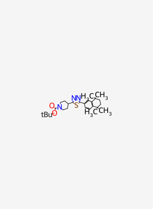 CC(C)(C)OC(=O)N1CCC(c2nnc(-c3ccc4c(c3)C(C)(C)CCC4(C)C)s2)CC1